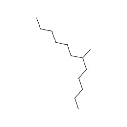 CCCC[CH]C(C)CCCCCC